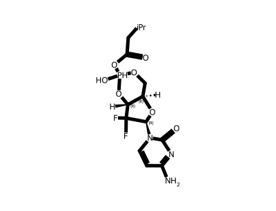 CC(C)CC(=O)O[PH]1(O)OC[C@H]2O[C@@H](n3ccc(N)nc3=O)C(F)(F)[C@@H]2O1